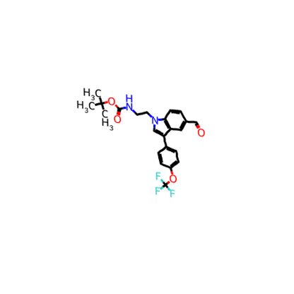 CC(C)(C)OC(=O)NCCn1cc(-c2ccc(OC(F)(F)F)cc2)c2cc(C=O)ccc21